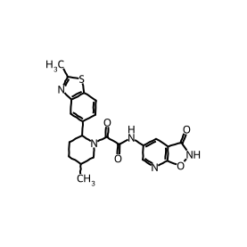 Cc1nc2cc(C3CCC(C)CN3C(=O)C(=O)Nc3cnc4o[nH]c(=O)c4c3)ccc2s1